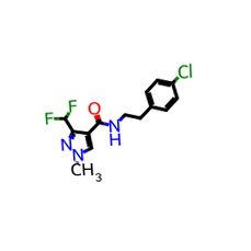 Cn1cc(C(=O)NCCc2ccc(Cl)cc2)c(C(F)F)n1